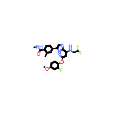 CNC(=O)c1ccc(-c2cnc3c(NCC(F)F)cc(Oc4ccc(OC)cc4F)nn23)cc1C